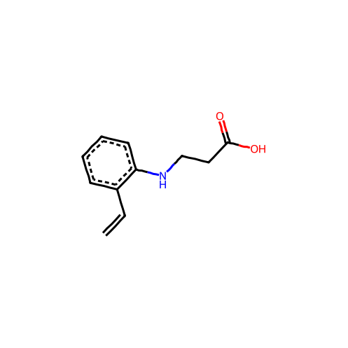 C=Cc1ccccc1NCCC(=O)O